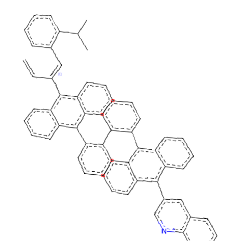 C=C/C(=C\c1ccccc1C(C)C)c1c2ccccc2c(-c2ccccc2-c2ccccc2-c2c3ccccc3c(-c3cnc4ccccc4c3)c3ccccc23)c2ccccc12